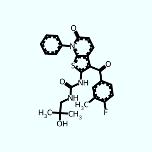 Cc1cc(C(=O)c2c(NC(=O)NCC(C)(C)O)sc3c2ccc(=O)n3-c2ccccc2)ccc1F